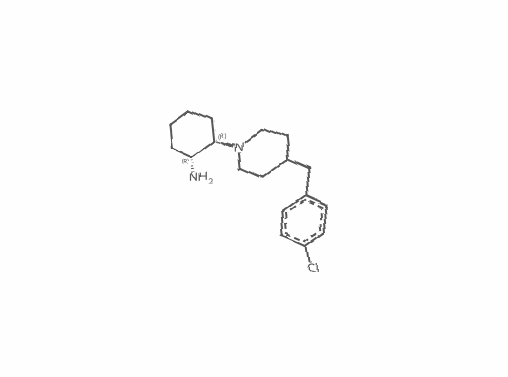 N[C@@H]1CCCC[C@H]1N1CCC(Cc2ccc(Cl)cc2)CC1